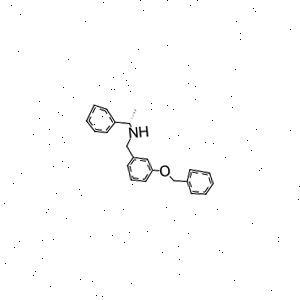 C[C@H](NCc1cccc(OCc2ccccc2)c1)c1ccccc1